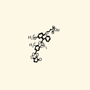 COc1ccc2c(c1)c(C(=O)Oc1c(C)cc(C(=O)ON3C(=O)CCC3=O)cc1C)c1ccccc1[n+]2CCCS(=O)(=O)O